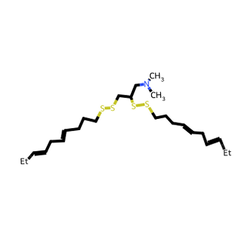 CC/C=C/C/C=C/CCCSSCC(CN(C)C)SSCCC/C=C/C/C=C/CC